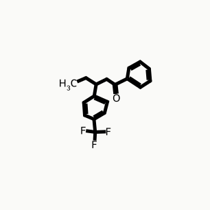 CCC(CC(=O)c1ccccc1)c1ccc(C(F)(F)F)cc1